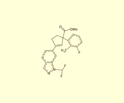 COC(=O)C1(c2cccc(F)c2C)C=C(c2ccc3cnn(C(F)F)c3c2)CC1